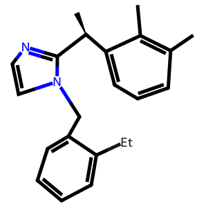 CCc1ccccc1Cn1ccnc1[C@@H](C)c1cccc(C)c1C